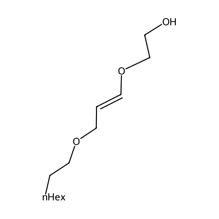 CCCCCCCCOCC=COCCO